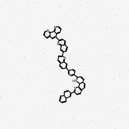 C1=CC2C=CC(c3ccc4c(n3)C3NC(c5ccc(-c6ccc7ccc(-c8ccc9ccc(-c%10cc%11cccnc%11c%11ncccc%10%11)nc9c8)nc7c6)cc5)C=CC3C=C4)=CC2C=C1